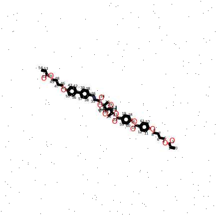 C=CC(=O)OCCCCOc1ccc(C(=O)Oc2ccc(C(=O)O[C@H]3CO[C@H]4[C@@H]3OC[C@H]4OC(=O)/C=C/c3ccc(-c4ccc(OCCCCOC(=O)C=C)cc4)cc3)cc2)cc1